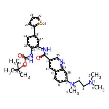 CN(C)CCN(C)c1ccc2cc(C(=O)Nc3cc(-c4cccs4)ccc3NC(=O)OC(C)(C)C)cnc2c1